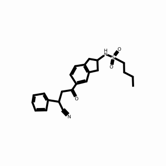 CCCCS(=O)(=O)NC1Cc2ccc(C(=O)CC(C#N)c3ccccc3)cc2C1